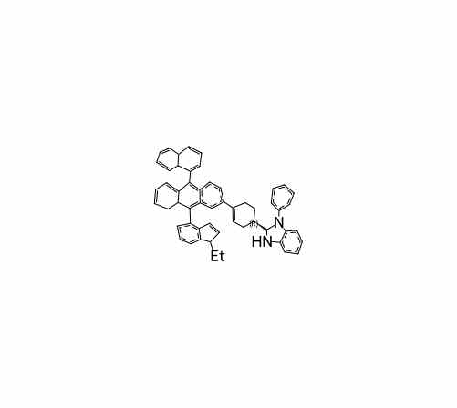 CCC1C=Cc2c(C3=c4cc(C5=CC[C@H](C6Nc7ccccc7N6c6ccccc6)CC5)ccc4=C(C4=CC=CC5C=CC=CC45)C4=CC=CCC43)cccc21